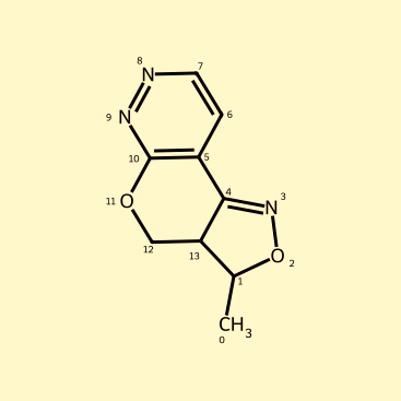 CC1ON=C2c3ccnnc3OCC21